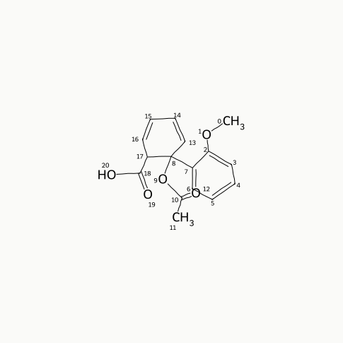 COc1ccccc1C1(OC(C)=O)C=CC=CC1C(=O)O